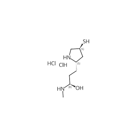 CN[C@H](O)CC[C@H]1C[C@H](S)CN1.Cl.Cl